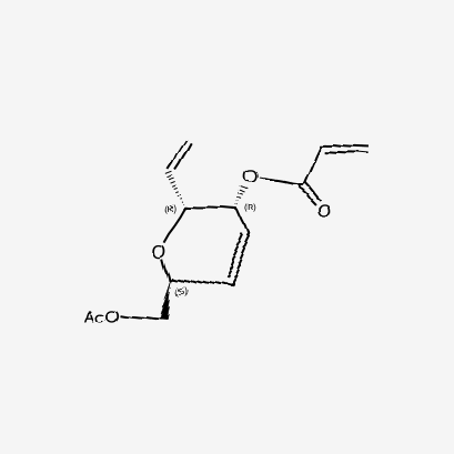 C=CC(=O)O[C@@H]1C=C[C@@H](COC(C)=O)O[C@@H]1C=C